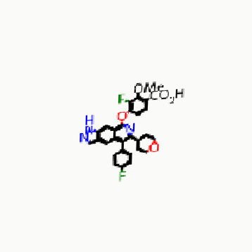 COc1c(C(=O)O)ccc(Oc2nc(C3CCOCC3)c(-c3ccc(F)cc3)c3cc4cn[nH]c4cc23)c1F